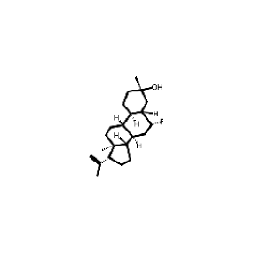 C=C(C)[C@H]1CC[C@H]2[C@@H]3C[C@@H](F)[C@H]4C[C@@](C)(O)CC[C@@H]4[C@H]3CC[C@]12C